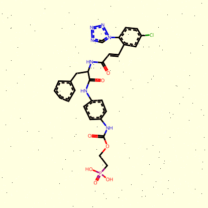 O=C(C=Cc1cc(Cl)ccc1-n1cnnn1)NC(Cc1ccccc1)C(=O)Nc1ccc(NC(=O)OCCP(=O)(O)O)cc1